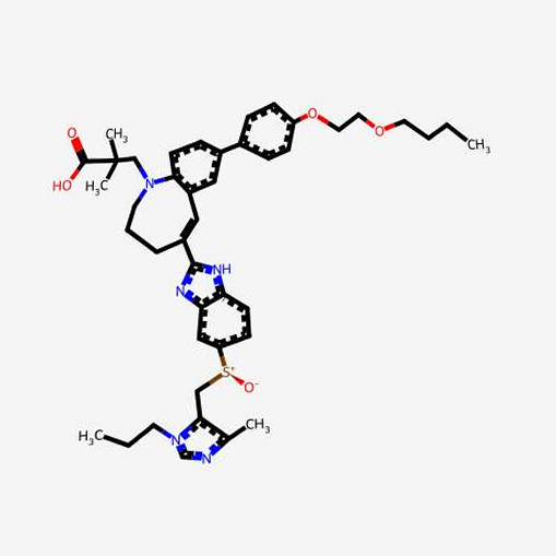 CCCCOCCOc1ccc(-c2ccc3c(c2)/C=C(/c2nc4cc([S@@+]([O-])Cc5c(C)ncn5CCC)ccc4[nH]2)CCCN3CC(C)(C)C(=O)O)cc1